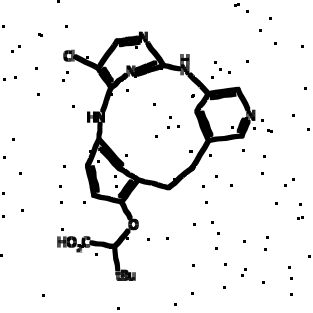 CC(C)(C)C(Oc1ccc2cc1CCc1cncc(c1)Nc1ncc(Cl)c(n1)N2)C(=O)O